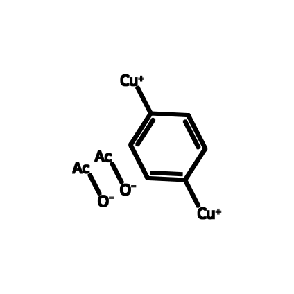 CC(=O)[O-].CC(=O)[O-].[Cu+][c]1cc[c]([Cu+])cc1